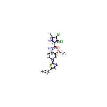 CCCO[C@H]1CN(c2ncc(C(=O)O)s2)CC[C@H]1NC(=O)c1[nH]c(C)c(Cl)c1Cl